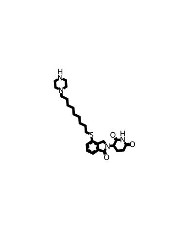 O=C1CCC(N2Cc3c(SCCCCCCCCCN4CCNCC4)cccc3C2=O)C(=O)N1